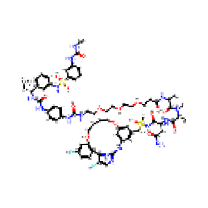 CCCNC(=O)Nc1cccc(S(=O)(=O)Nc2cccc([C@@H](CC(=O)O)NC(=O)Nc3ccc(NC(=O)NCCOCCOCCOCCC(=O)N[C@@H](C)C(=O)N(C)[C@@H](C)C(=O)N[C@@H](CC(N)=O)C(=O)N=S(C)(=O)Cc4cc5cc(c4)OCCCCOc4cc(F)ccc4-c4nc(ncc4F)N5)cc3)c2)c1